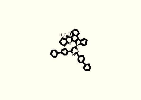 CC1(C)c2ccccc2Sc2c1c1ccccc1c1c3ccccc3n(-c3cc(-c4ccc(-c5ccccc5)cc4)nc(-c4ccc(-c5ccccc5)cc4)n3)c21